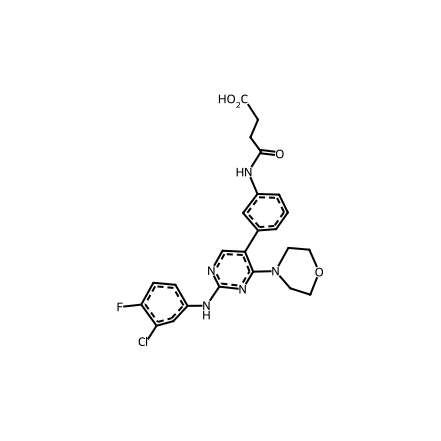 O=C(O)CCC(=O)Nc1cccc(-c2cnc(Nc3ccc(F)c(Cl)c3)nc2N2CCOCC2)c1